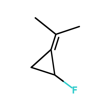 CC(C)=C1CC1F